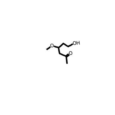 COC(CCO)CC(C)=O